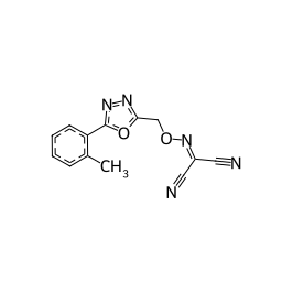 Cc1ccccc1-c1nnc(CON=C(C#N)C#N)o1